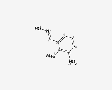 CSc1c(C=NO)cccc1[N+](=O)[O-]